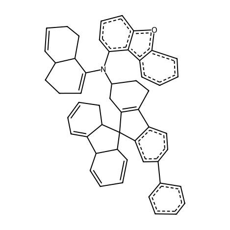 C1=CCC2C(=C1)C1C=CC=CC1C21C2=C(CCC(N(C3=CCCC4C=CCCC34)c3cccc4oc5ccccc5c34)C2)c2ccc(-c3ccccc3)cc21